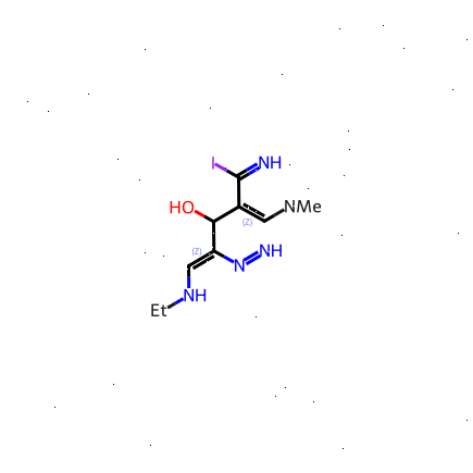 CCN/C=C(\N=N)C(O)/C(=C/NC)C(=N)I